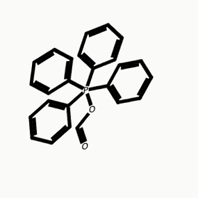 O=COP(c1ccccc1)(c1ccccc1)(c1ccccc1)c1ccccc1